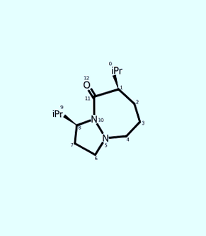 CC(C)[C@H]1CCCN2CC[C@@H](C(C)C)N2C1=O